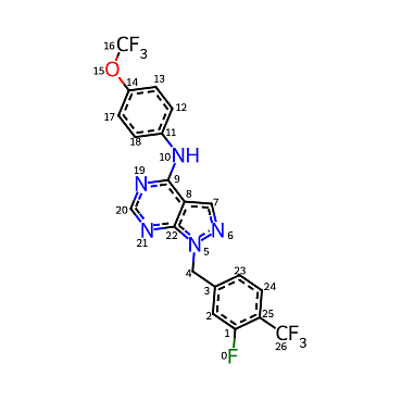 Fc1cc(Cn2ncc3c(Nc4ccc(OC(F)(F)F)cc4)ncnc32)ccc1C(F)(F)F